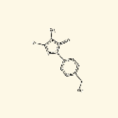 Cn1c(Br)nn(-c2ccc(CO)cc2)c1=O